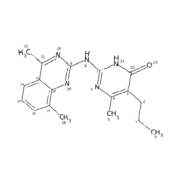 CCCc1c(C)nc(Nc2nc(C)c3cccc(C)c3n2)[nH]c1=O